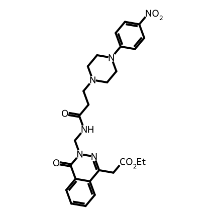 CCOC(=O)Cc1nn(CNC(=O)CCN2CCN(c3ccc([N+](=O)[O-])cc3)CC2)c(=O)c2ccccc12